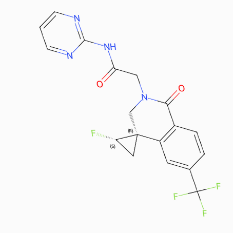 O=C(CN1C[C@@]2(C[C@@H]2F)c2cc(C(F)(F)F)ccc2C1=O)Nc1ncccn1